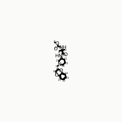 COC(=O)NC(C)(C)C(=O)N[C@H]1CCCN(C[C@H]2COc3ccccc3O2)C1